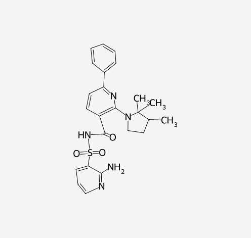 CC1CCN(c2nc(-c3ccccc3)ccc2C(=O)NS(=O)(=O)c2cccnc2N)C1(C)C